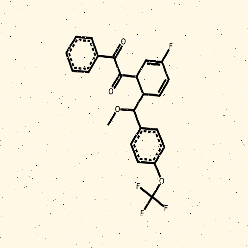 COC(c1ccc(OC(F)(F)F)cc1)C1C=CC(F)=CC1C(=O)C(=O)c1ccccc1